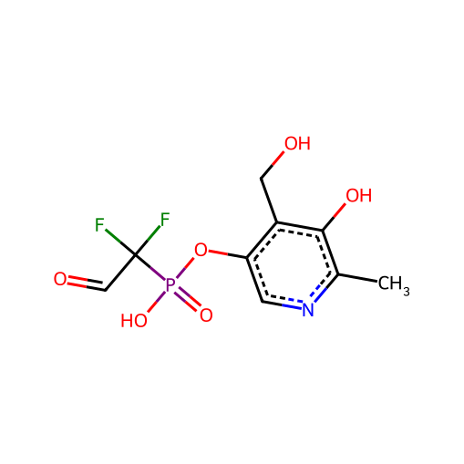 Cc1ncc(OP(=O)(O)C(F)(F)C=O)c(CO)c1O